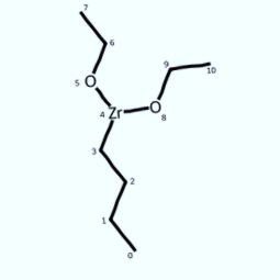 CCC[CH2][Zr]([O]CC)[O]CC